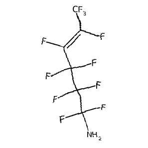 NC(F)(F)C(F)(F)C(F)(F)C(F)=C(F)C(F)(F)F